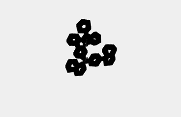 c1ccc(-c2c(-c3ccccc3-c3ccc(N(c4ccc(-c5cccc6ccccc56)cc4)c4cccc5ccccc45)cc3)oc3ccccc23)cc1